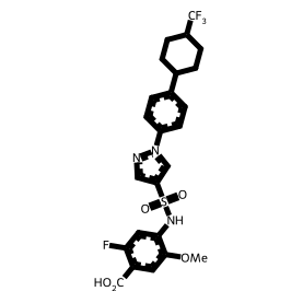 COc1cc(C(=O)O)c(F)cc1NS(=O)(=O)c1cnn(-c2ccc(C3CCC(C(F)(F)F)CC3)cc2)c1